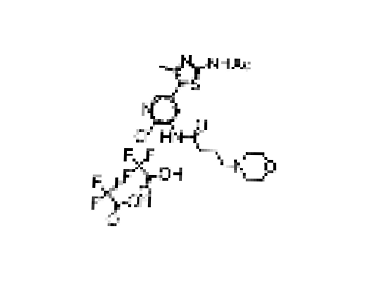 CC(=O)Nc1nc(C)c(-c2cnc(Cl)c(NC(=O)CCCN3CCOCC3)c2)s1.O=C(O)C(F)(F)F.O=C(O)C(F)(F)F